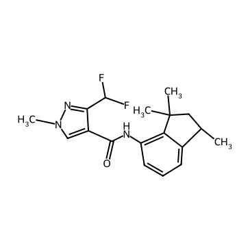 CC1CC(C)(C)c2c(NC(=O)c3cn(C)nc3C(F)F)cccc21